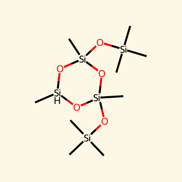 C[SiH]1O[Si](C)(O[Si](C)(C)C)O[Si](C)(O[Si](C)(C)C)O1